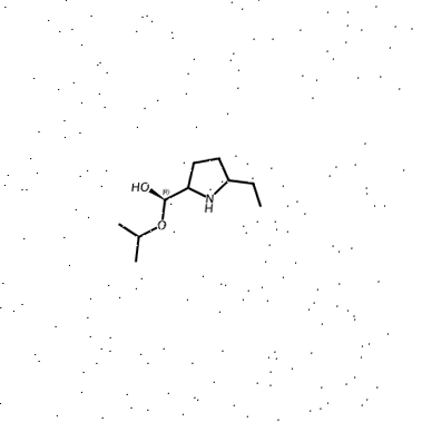 CCC1CCC([C@H](O)OC(C)C)N1